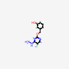 NNc1nc(OCc2cccc(O)c2)ncc1F